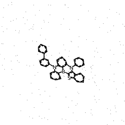 c1ccc(-c2cccc(N3c4ccccc4B4c5sc6ccccc6c5N(c5ccccc5)c5cccc3c54)c2)cc1